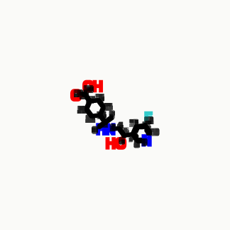 CC(C)(NCC(O)c1cncc(F)c1)C1CCC(C(=O)O)CC1